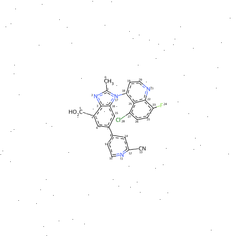 Cc1nc2c(C(=O)O)cc(-c3ccnc(C#N)c3)cc2n1-c1ccnc2c(F)ccc(Cl)c12